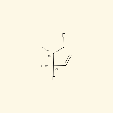 C=C[C@@](C)(F)[C@H](C)CF